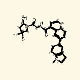 Cn1ccc2cc(-c3ccc4nccc(C(=O)NCC(=O)N5CC(F)(F)CC5C#N)c4c3)ccc21